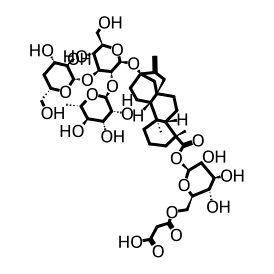 C=C1C[C@@]23CC[C@H]4[C@@](C)(CCC[C@@]4(C)C(=O)O[C@@H]4O[C@H](COC(=O)CC(=O)O)[C@@H](O)[C@H](O)[C@H]4O)[C@@H]2CC[C@@]1(O[C@@H]1O[C@H](CO)[C@@H](O)[C@H](O[C@@H]2O[C@H](CO)C[C@H](O)[C@H]2O)[C@H]1O[C@@H]1O[C@@H](C)[C@H](O)[C@@H](O)[C@H]1O)C3